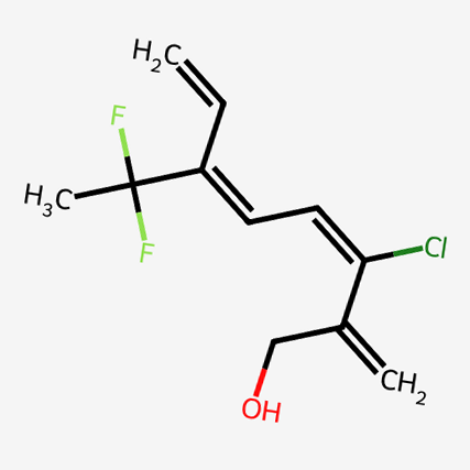 C=C/C(=C\C=C(\Cl)C(=C)CO)C(C)(F)F